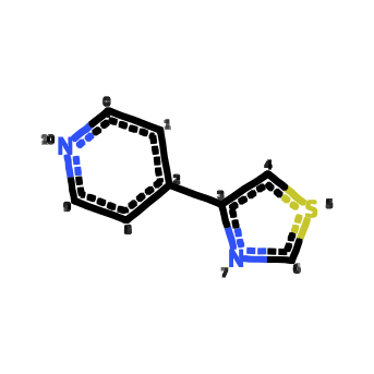 [c]1cc(-c2cscn2)ccn1